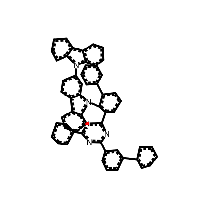 c1ccc(-c2cccc(-c3nc(-c4ccccc4)nc(-c4cccc(-c5ccccc5)c4-n4c5ccccc5c5ccc(-n6c7ccccc7c7ccccc76)cc54)n3)c2)cc1